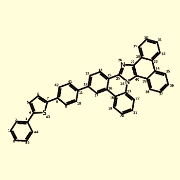 c1ccc(-c2ccc(-c3ccc(-c4ccc5c(c4)c4ccccc4n4c5nc5c6ccccc6c6ccccc6c54)cc3)s2)cc1